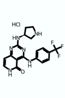 Cl.O=c1[nH]ccc2nc(N[C@H]3CCNC3)nc(Nc3ccc(C(F)(F)F)cc3)c12